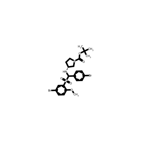 COc1ccc(Br)cc1S(=O)(=O)C(N[C@@H]1CCN(C(=O)OC(C)(C)C)C1)c1ccc(Br)cc1